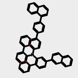 c1ccc(-c2ccccc2N(c2ccc(-c3ccc(-c4cccc5ccccc45)cc3)cc2)c2cc(-c3ccc4ccccc4c3)ccc2-c2ccccc2)cc1